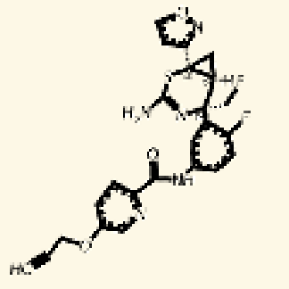 C#CCOc1ccc(C(=O)Nc2ccc(F)c([C@@]3(CF)N=C(N)S[C@@]4(c5ccon5)C[C@@H]34)c2)nc1